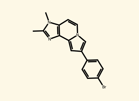 Cc1nc2c(ccn3cc(-c4ccc(Br)cc4)cc23)n1C